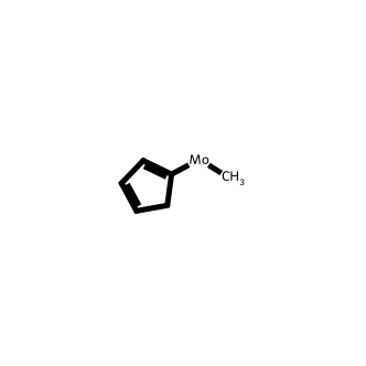 [CH3][Mo][C]1=CC=CC1